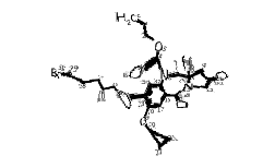 C=CCOC(=O)N1C[C@@H]2CC(=O)CN2C(=O)c2cc(OC3CC3)c(OCCCCCBr)cc21